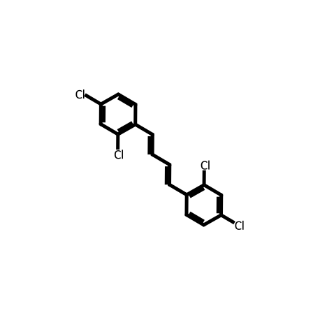 Clc1ccc(C=CC=Cc2ccc(Cl)cc2Cl)c(Cl)c1